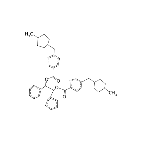 CC1CCC(Cc2ccc(C(=O)O[C@H](c3ccccc3)[C@H](OC(=O)c3ccc(CC4CCC(C)CC4)cc3)c3ccccc3)cc2)CC1